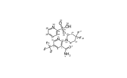 NC(=O)c1cc(C(F)(F)F)cnc1N1CCC(F)(F)CC1.O=S(=O)(O)c1ccccn1